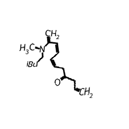 C=CCC(=O)C/C=C\C=C/C(=C)N(C)CC(C)CC